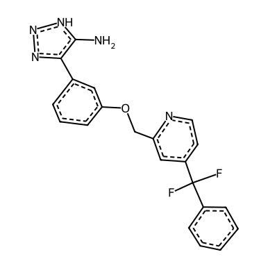 Nc1[nH]nnc1-c1cccc(OCc2cc(C(F)(F)c3ccccc3)ccn2)c1